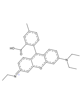 CC/N=c1\ccc2c(-c3ccc(C)cc3C(=O)O)c3ccc(N(CC)CC)cc3oc-2c1